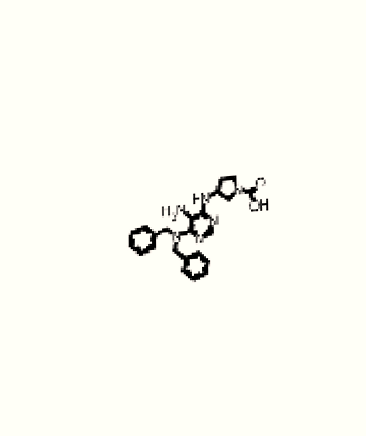 Nc1c(NC2CCN(C(=O)O)C2)ncnc1N(Cc1ccccc1)Cc1ccccc1